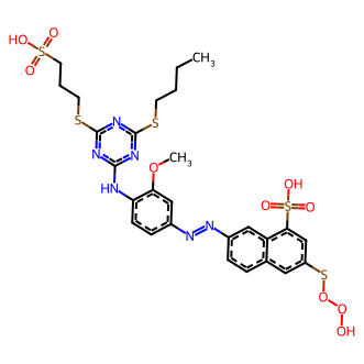 CCCCSc1nc(Nc2ccc(/N=N/c3ccc4cc(SOOO)cc(S(=O)(=O)O)c4c3)cc2OC)nc(SCCCS(=O)(=O)O)n1